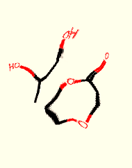 CC(O)CO.O=C1COCCO1